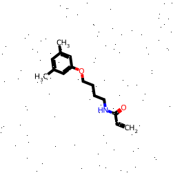 C=CC(=O)NCCCCOc1cc(C)cc(C)c1